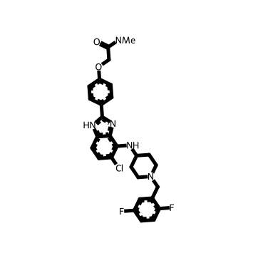 CNC(=O)COc1ccc(-c2nc3c(NC4CCN(Cc5cc(F)ccc5F)CC4)c(Cl)ccc3[nH]2)cc1